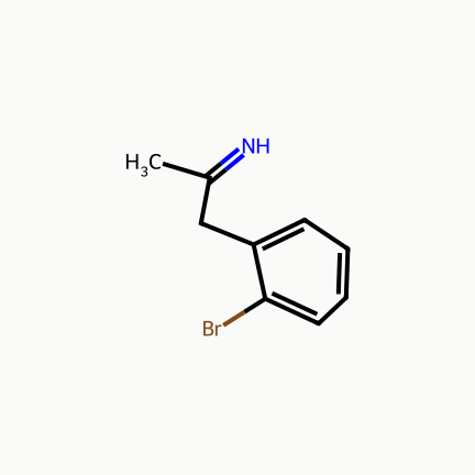 CC(=N)Cc1ccccc1Br